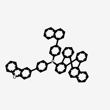 c1ccc2c(c1)-c1c(N(c3ccc(-c4ccc5oc6ccccc6c5c4)cc3)c3ccc(-c4cccc5ccccc45)cc3)cccc1C21c2ccccc2-c2c1ccc1ccccc21